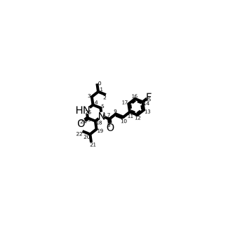 CC(C)CC1CN(C(=O)C=Cc2ccc(F)cc2)C(CC(C)C)C(=O)N1